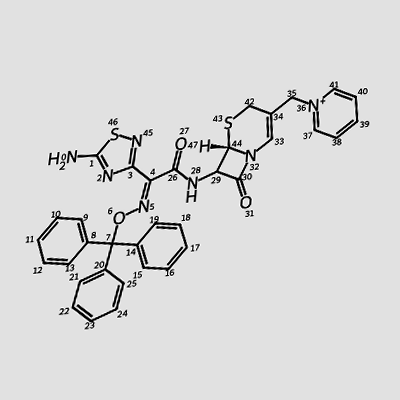 Nc1nc(C(=NOC(c2ccccc2)(c2ccccc2)c2ccccc2)C(=O)NC2C(=O)N3C=C(C[n+]4ccccc4)CS[C@@H]23)ns1